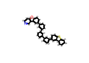 c1cc(-c2cccc(-c3ccc4oc5ccncc5c4c3)c2)cc(-c2cccc(-c3ccc4sc5ccccc5c4c3)c2)c1